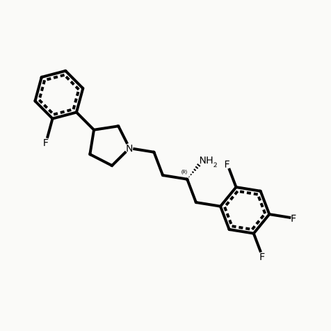 N[C@@H](CCN1CCC(c2ccccc2F)C1)Cc1cc(F)c(F)cc1F